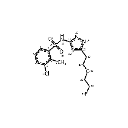 Cc1c(Cl)cccc1S(=O)(=O)Nc1nnc(CCOCCF)s1